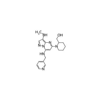 CBc1cnn2c(NCc3cccnc3)cc(N3CCCCC3CO)nc12